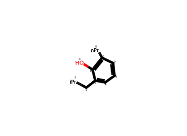 CCCc1cccc(CC(C)C)c1O